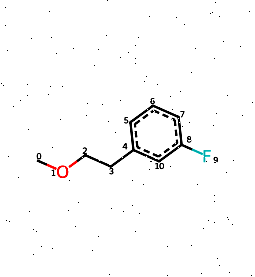 COCCc1cccc(F)c1